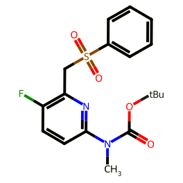 CN(C(=O)OC(C)(C)C)c1ccc(F)c(CS(=O)(=O)c2ccccc2)n1